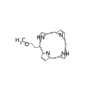 COCCc1c2nc(cc3ccc(cc4nc(cc5ccc1[nH]5)C=C4)[nH]3)C=C2